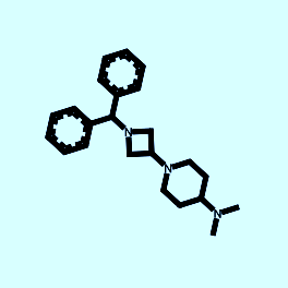 CN(C)C1CCN(C2CN(C(c3ccccc3)c3ccccc3)C2)CC1